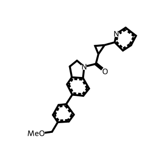 COCc1ccc(-c2ccc3c(c2)CCN3C(=O)C2CC2c2ccccn2)cc1